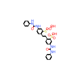 O=C(Nc1ccccc1)Nc1ccc(/C=C/c2ccc(NC(=O)Nc3ccccc3)cc2S(=O)(=O)O)c(SOOO)c1